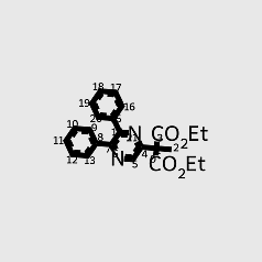 CCOC(=O)C(C)(C(=O)OCC)c1cnc(-c2ccccc2)c(-c2ccccc2)n1